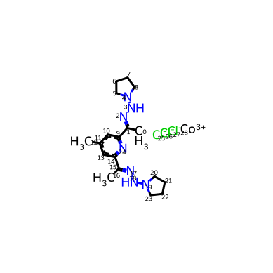 CC(=NNN1CCCC1)c1cc(C)cc(C(C)=NNN2CCCC2)n1.[Cl-].[Cl-].[Cl-].[Co+3]